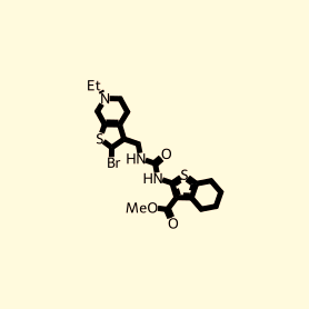 CCN1CCC2=C(C1)SC(Br)C2CNC(=O)Nc1sc2c(c1C(=O)OC)CCCC2